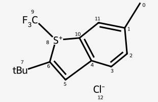 Cc1ccc2cc(C(C)(C)C)[s+](C(F)(F)F)c2c1.[Cl-]